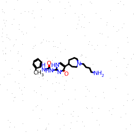 Cc1ccccc1NC(=O)Nc1nc(=O)c(C2CCCN(CCCCN)CC2)c[nH]1